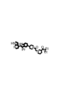 CCN(CC)C(=O)C1CCCN(CC(=O)N2CCC(c3ccc4[nH]c(-c5ccnc6[nH]ccc56)c(C(C)C)c4c3)CC2)C1